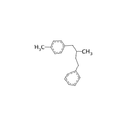 Cc1ccc(CC(C)CCc2ccccc2)cc1